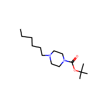 [CH2]CCCCCN1CCN(C(=O)OC(C)(C)C)CC1